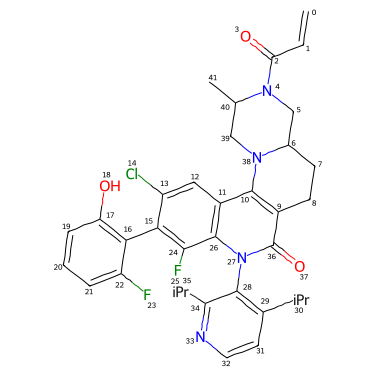 C=CC(=O)N1CC2CCc3c(c4cc(Cl)c(-c5c(O)cccc5F)c(F)c4n(-c4c(C(C)C)ccnc4C(C)C)c3=O)N2CC1C